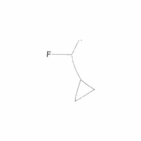 [CH2]C(F)C1CC1